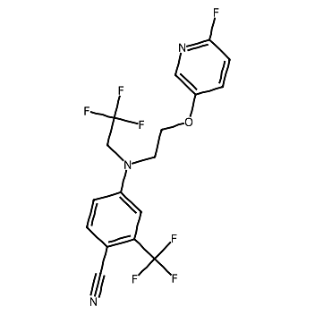 N#Cc1ccc(N(CCOc2ccc(F)nc2)CC(F)(F)F)cc1C(F)(F)F